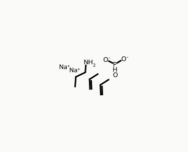 C=CC.C=CC.CCCN.O=[PH]([O-])[O-].[Na+].[Na+]